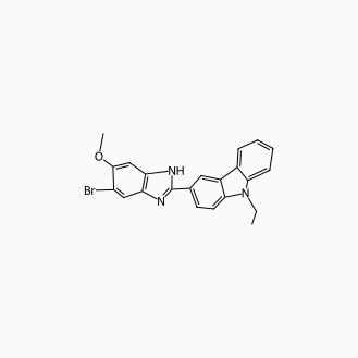 CCn1c2ccccc2c2cc(-c3nc4cc(Br)c(OC)cc4[nH]3)ccc21